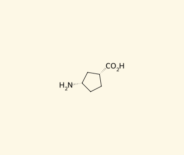 N[C@H]1CC[C@@H](C(=O)O)C1